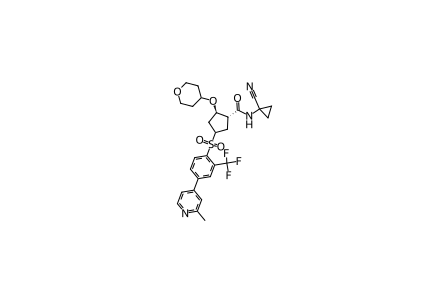 Cc1cc(-c2ccc(S(=O)(=O)C3C[C@@H](OC4CCOCC4)[C@H](C(=O)NC4(C#N)CC4)C3)c(C(F)(F)F)c2)ccn1